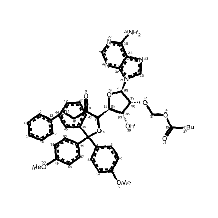 COc1ccc(C(OC(C(=O)COc2ccccc2)[C@H]2O[C@@H](n3cnc4c(N)ncnc43)[C@H](OCOC(=O)C(C)(C)C)[C@@H]2O)(c2ccccc2)c2ccc(OC)cc2)cc1